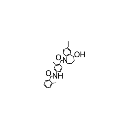 Cc1ccccc1C(=O)Nc1ccc(C(=O)N2CCCC(O)c3cc(I)ccc32)c(C)c1